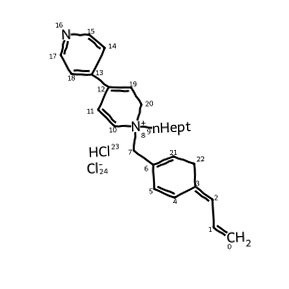 C=CC=C1C=CC(C[N+]2(CCCCCCC)C=CC(c3ccncc3)=CC2)=CC1.Cl.[Cl-]